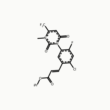 CC(C)OC(=O)/C=C/c1cc(-n2c(=O)cc(C(F)(F)F)n(C)c2=O)c(F)cc1Cl